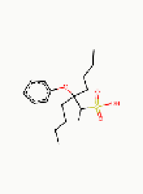 CCCCC(CCCC)(Oc1ccccc1)C(C)S(=O)(=O)O